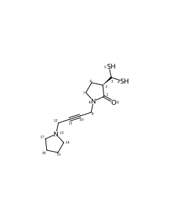 O=C1[C@H](C(S)S)CCN1CC#CCN1CCCC1